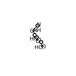 O=C(O)c1ccc(Cc2cc3cc(C(=O)NCc4ccncc4)ccc3[nH]c2=O)cc1